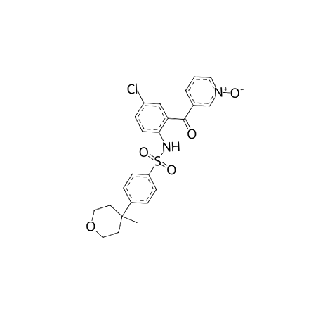 CC1(c2ccc(S(=O)(=O)Nc3ccc(Cl)cc3C(=O)c3ccc[n+]([O-])c3)cc2)CCOCC1